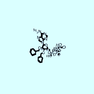 Nc1ncnc2c1ncn2[C@@H]1O[C@H](COP(=O)(O)OP(=O)(O)OP(=O)(O)O)[C@@H](OCc2ccccc2)[C@H]1OCc1ccccc1